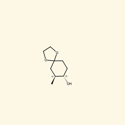 C[C@H]1CC2(CC[C@@H]1O)OCCO2